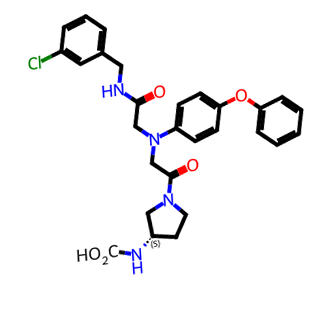 O=C(O)N[C@H]1CCN(C(=O)CN(CC(=O)NCc2cccc(Cl)c2)c2ccc(Oc3ccccc3)cc2)C1